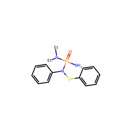 CCN(CC)P(N)(=O)N(Sc1ccccc1)c1ccccc1